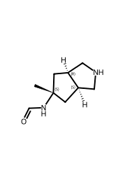 C[C@@]1(NC=O)C[C@H]2CNC[C@H]2C1